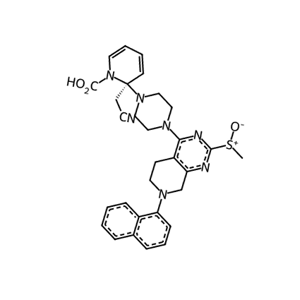 C[S+]([O-])c1nc2c(c(N3CCN([C@]4(CC#N)C=CC=CN4C(=O)O)CC3)n1)CCN(c1cccc3ccccc13)C2